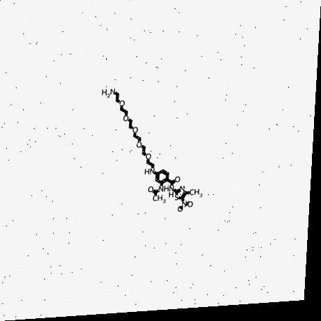 CC(=O)Nc1cc(NCCOCCOCCOCCOCCOCCN)ccc1C(=O)Nc1nc(C)c([N+](=O)[O-])s1